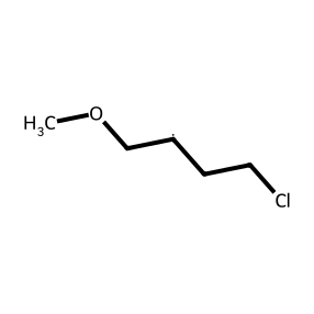 COC[CH]CCCl